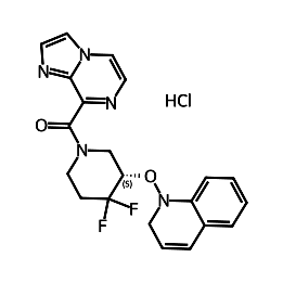 Cl.O=C(c1nccn2ccnc12)N1CCC(F)(F)[C@@H](ON2CC=Cc3ccccc32)C1